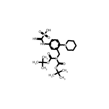 CC(C)(C)OC(=O)N(Cc1cc(NC(=N)S(=O)(=O)O)ccc1N1CCCCC1)C(=O)OC(C)(C)C